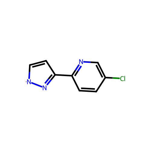 Clc1ccc(C2=N[N]C=C2)nc1